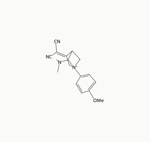 COc1ccc([N+]23CC(=C(C#N)C#N)C(C2)C3N(C)C)cc1